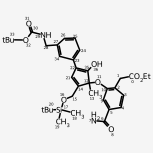 CCOC(=O)Cc1ccc(C(N)=O)cc1OC1(C)C(CO[Si](C)(C)C(C)(C)C)=CC(c2cccc(CNC(=O)OC(C)(C)C)c2)=C1O